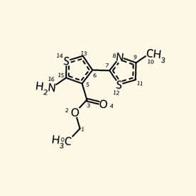 CCOC(=O)c1c(-c2nc(C)cs2)csc1N